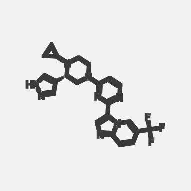 FC(F)(F)c1ccc2ncc(-c3nccc(N4CCN(C5CC5)[C@@H](c5cn[nH]c5)C4)n3)n2c1